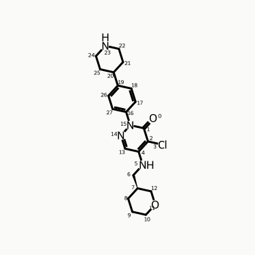 O=c1c(Cl)c(NC[C@@H]2CCCOC2)cnn1-c1ccc(C2CCNCC2)cc1